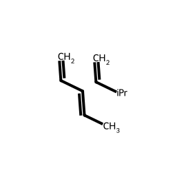 C=C/C=C/C.C=CC(C)C